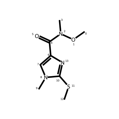 CON(C)C(=O)c1cn(C)c(SC)n1